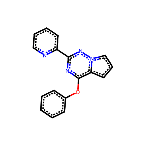 c1ccc(Oc2nc(-c3ccccn3)nn3cccc23)cc1